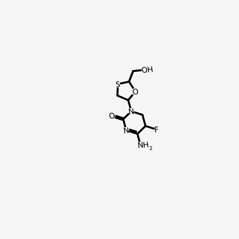 NC1=NC(=O)N(C2CSC(CO)O2)CC1F